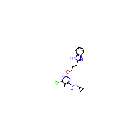 Cc1c(Cl)nc(OCCCc2nc3ccccc3[nH]2)nc1NCC1CC1